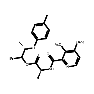 COc1ccnc(C(=O)N[C@@H](C)C(=O)OC(C(C)C)[C@H](C)Oc2ccc(C)cc2)c1OC(C)=O